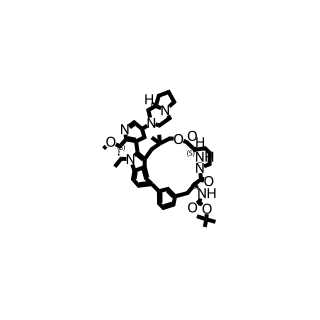 CCn1c(C2=C([C@H](C)OC)N=CC(N3CCN4CCC[C@@H]4C3)C2)c2c3cc(ccc31)-c1cccc(c1)C[C@H](NC(=O)OC(C)(C)C)C(=O)N1CCC[C@H](N1)C(=O)OCC(C)(C)C2